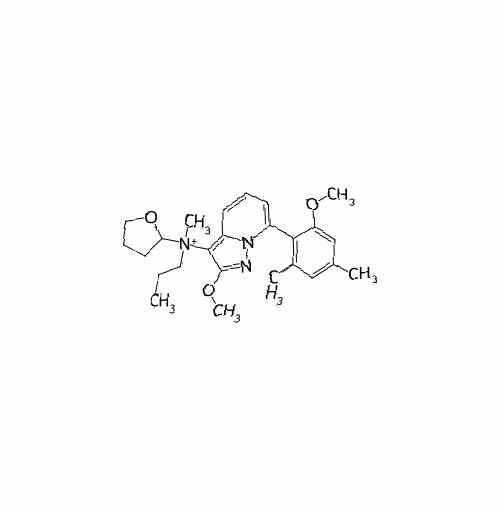 CCC[N+](C)(c1c(OC)nn2c(-c3c(C)cc(C)cc3OC)cccc12)C1CCCO1